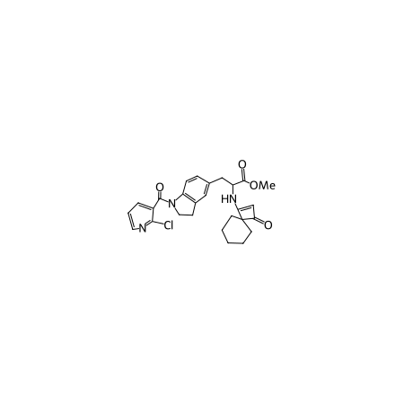 COC(=O)C(Cc1ccc2c(c1)CCN2C(=O)c1cccnc1Cl)NC1=CC(=O)C12CCCCC2